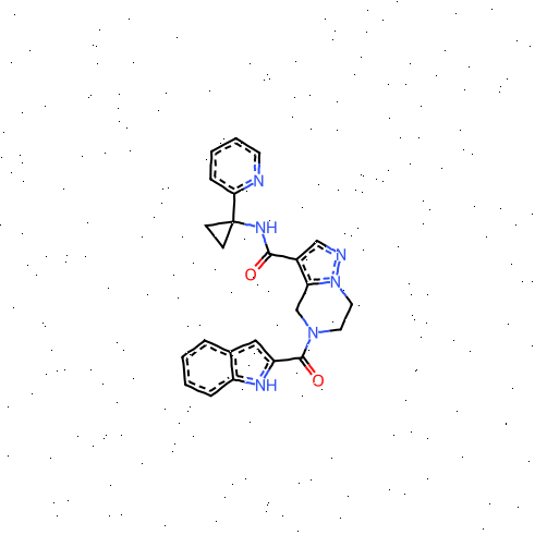 O=C(NC1(c2ccccn2)CC1)c1cnn2c1CN(C(=O)c1cc3ccccc3[nH]1)CC2